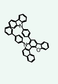 c1ccc(-c2ccc(-n3c4ccc5ccccc5c4c4c5oc6ccccc6c5cc(-c5ccc(-n6c7ccccc7c7ccccc76)cc5)c43)cc2)cc1